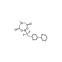 CN1CC(=O)OB(C(F)(F)Cc2ccc(-c3ccccc3)cc2)OC(=O)C1